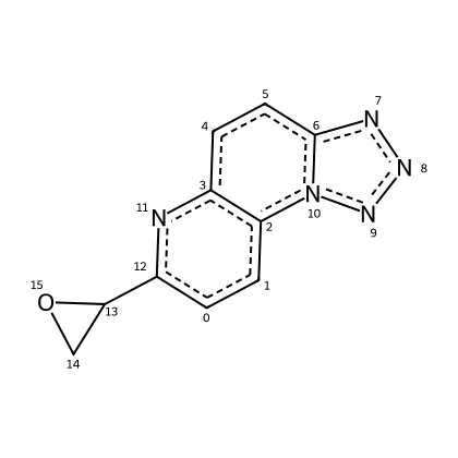 c1cc2c(ccc3nnnn32)nc1C1CO1